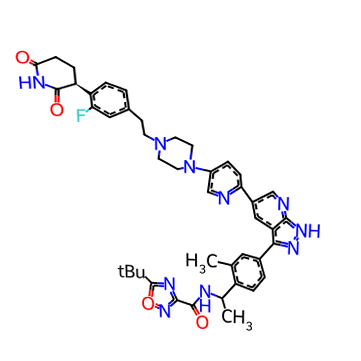 Cc1cc(-c2n[nH]c3ncc(-c4ccc(N5CCN(CCc6ccc([C@@H]7CCC(=O)NC7=O)c(F)c6)CC5)cn4)cc23)ccc1C(C)NC(=O)c1noc(C(C)(C)C)n1